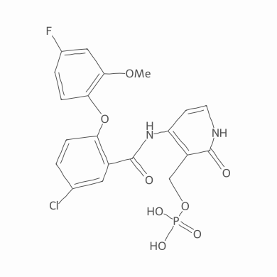 COc1cc(F)ccc1Oc1ccc(Cl)cc1C(=O)Nc1cc[nH]c(=O)c1COP(=O)(O)O